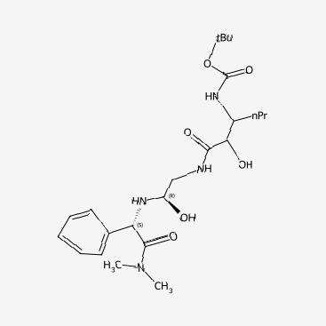 CCCC(NC(=O)OC(C)(C)C)C(O)C(=O)NC[C@@H](O)N[C@H](C(=O)N(C)C)c1ccccc1